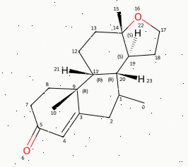 CC1CC2=CC(=O)CC[C@]2(C)[C@@H]2CC[C@]3(C)OCC[C@H]3[C@H]12